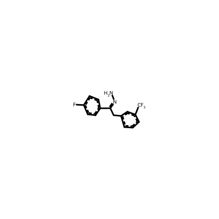 NN=C(Cc1cccc(C(F)(F)F)c1)c1ccc(F)cc1